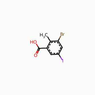 Cc1c(Br)cc(I)cc1C(=O)O